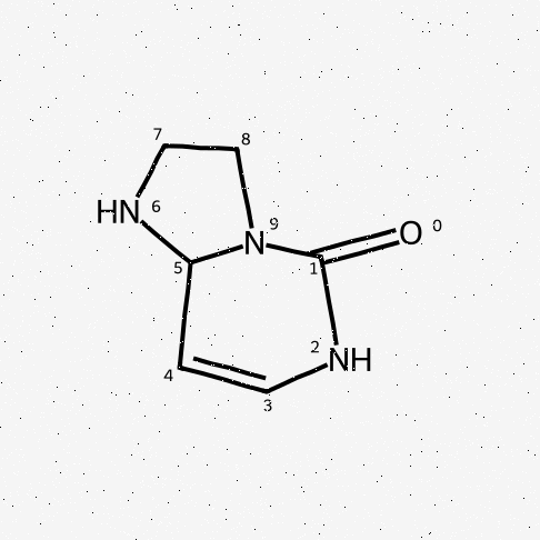 O=C1NC=CC2NCCN12